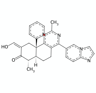 Cc1nc(-c2ccc3nccn3c2)c2c(n1)[C@@]1(c3ccccc3)C/C(=C/O)C(=O)[C@@H](C)[C@@H]1CC2